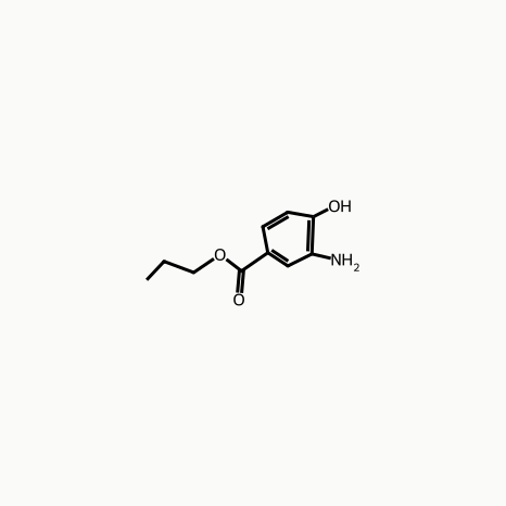 CCCOC(=O)c1ccc(O)c(N)c1